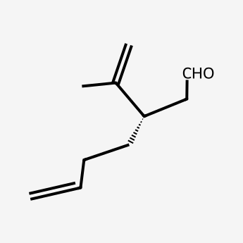 C=CCC[C@@H](CC=O)C(=C)C